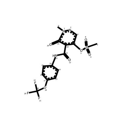 Cn1ncc(OS(C)(=O)=O)c(C(=O)Nc2ccc(OC(F)(F)F)cc2)c1=O